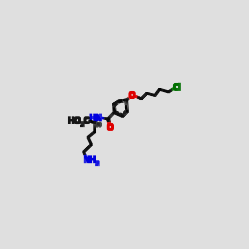 NCCCC[C@H](NC(=O)c1ccc(OCCCCCCl)cc1)C(=O)O